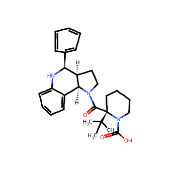 CC(C)(C)[C@@]1(C(=O)N2CC[C@@H]3[C@H](c4ccccc4)Nc4ccccc4[C@@H]32)CCCCN1C(=O)O